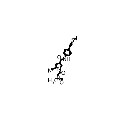 CN(C=O)CC(=O)N1CC(C(=O)Nc2ccc(C#CSI)cc2)CC1C#N